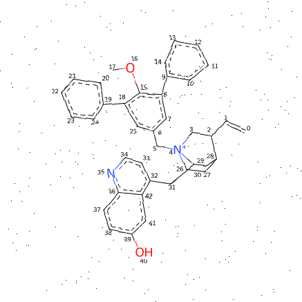 C=CC1C[N+]2(Cc3cc(-c4ccccc4)c(OC)c(-c4ccccc4)c3)CCC1CC2Cc1ccnc2ccc(O)cc12